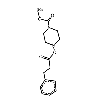 CC(C)(C)OC(=O)N1CCN(OC(=O)CCc2ccccc2)CC1